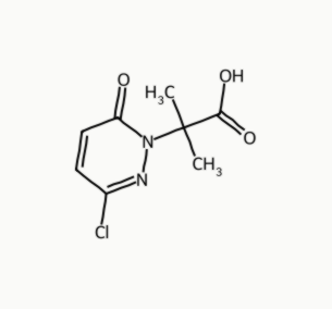 CC(C)(C(=O)O)n1nc(Cl)ccc1=O